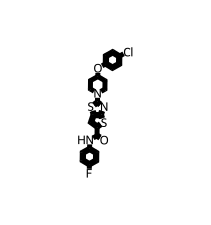 O=C(Nc1ccc(F)cc1)c1cc2sc(N3CCC(Oc4ccc(Cl)cc4)CC3)nc2s1